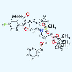 CNC(=O)c1c(-c2ccc(F)cc2)oc2cc(N(CC(COCc3ccccc3)CB3OC(C)(C)C(C)(C)O3)S(C)(=O)=O)c(C3CC3)cc12